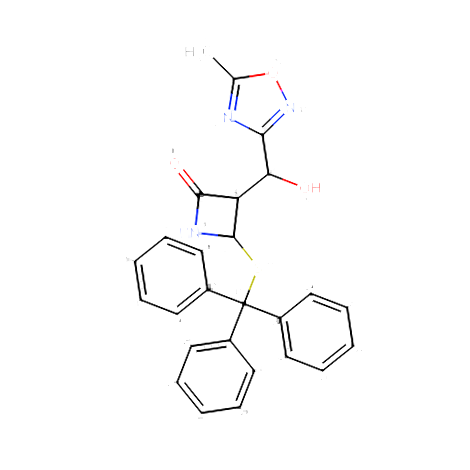 Cc1nc(C(O)C2C(=O)NC2SC(c2ccccc2)(c2ccccc2)c2ccccc2)no1